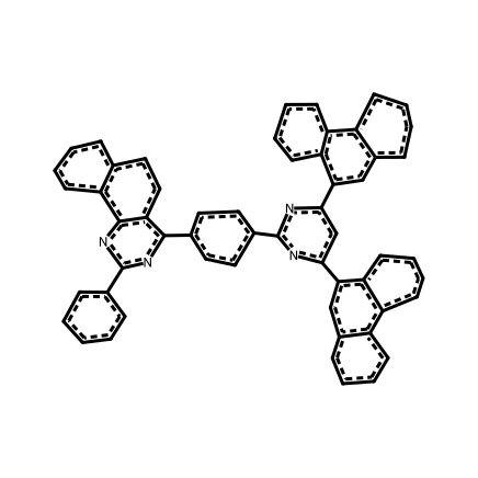 c1ccc(-c2nc(-c3ccc(-c4nc(-c5cc6ccccc6c6ccccc56)cc(-c5cc6ccccc6c6ccccc56)n4)cc3)c3ccc4ccccc4c3n2)cc1